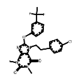 Cn1c(=O)c2c(nc(Oc3cccc(C(C)(F)F)c3)n2CCc2ccc(Cl)cc2)n(C)c1=O